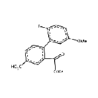 COC(=O)c1cc(C(=O)O)ccc1-c1cc(OC)ccc1F